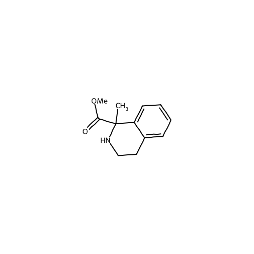 COC(=O)C1(C)NCCc2ccccc21